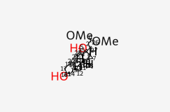 COC(CC[C@]1(O)[C@H]2C[C@H]2[C@H]2[C@@H]3CC=C4C[C@@H](O)CC[C@]4(C)[C@H]3CC[C@@]21C)OC